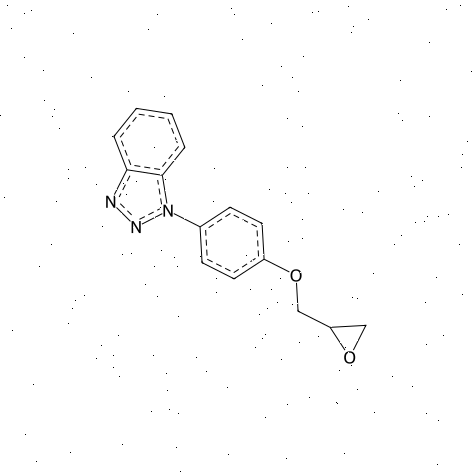 c1ccc2c(c1)nnn2-c1ccc(OCC2CO2)cc1